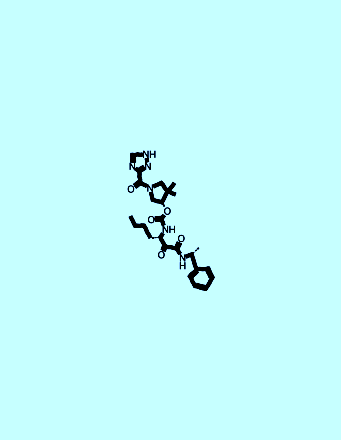 CCCC[C@H](NC(=O)O[C@@H]1CN(C(=O)c2nc[nH]n2)CC1(C)C)C(=O)C(=O)N[C@H](C)c1ccccc1